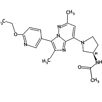 CCOc1ccc(-c2c(C)nc3c(N4CC[C@@H](NC(C)=O)C4)cc(C)nn23)cn1